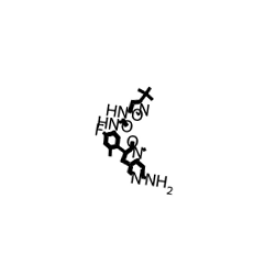 Cc1cc(F)c(NC(=O)Nc2cc(C(C)(C)C)no2)cc1-c1cc2cnc(N)cc2n(C)c1=O